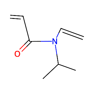 C=CC(=O)N(C=C)C(C)C